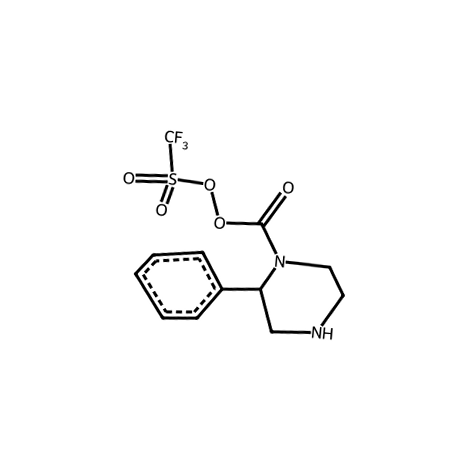 O=C(OOS(=O)(=O)C(F)(F)F)N1CCNCC1c1ccccc1